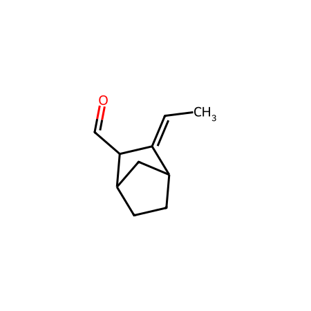 CC=C1C2CCC(C2)C1C=O